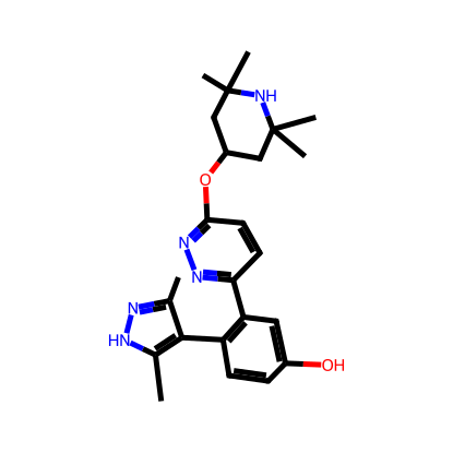 Cc1n[nH]c(C)c1-c1ccc(O)cc1-c1ccc(OC2CC(C)(C)NC(C)(C)C2)nn1